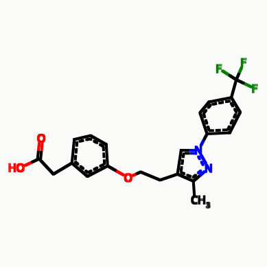 Cc1nn(-c2ccc(C(F)(F)F)cc2)cc1CCOc1cccc(CC(=O)O)c1